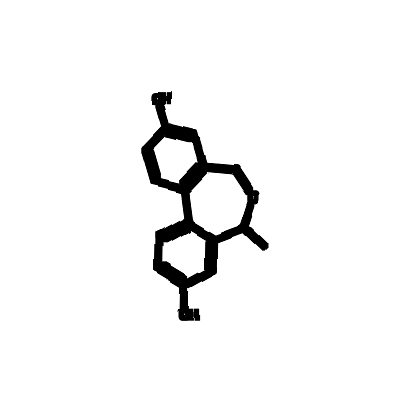 CC1OCc2cc(O)ccc2-c2ccc(O)cc21